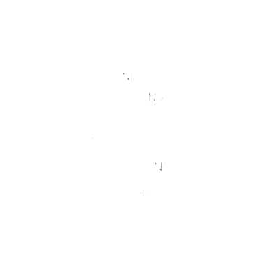 CC1=NC2(CCc3c(cccc3-c3cncnc3)C2)C(C)O1